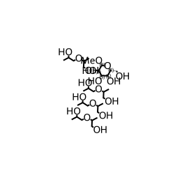 CC(O)COC(C)CO.CC(O)COC(C)CO.CC(O)COC(C)CO.CC(O)COC(C)CO.CO[C@@H]1O[C@H](CO)[C@@H](O)[C@H](O)[C@H]1O